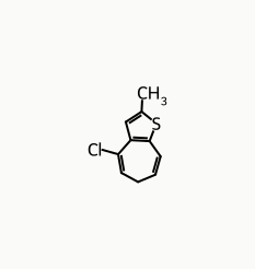 Cc1cc2c(s1)C=CCC=C2Cl